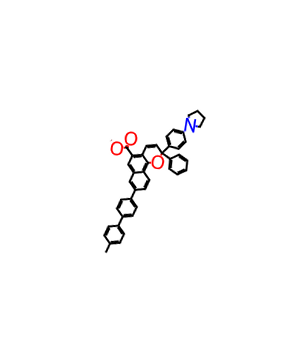 COC(=O)c1cc2cc(-c3ccc(-c4ccc(C)cc4)cc3)ccc2c2c1C=CC(c1ccccc1)(c1ccc(N3CCCC3)cc1)O2